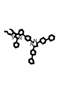 C=C/C=c1/sc2c(-c3ccccc3)nc3c(-c4ccc(-c5nc(-c6ccc(-c7ccccc7)cc6)cc(-c6ccc(-c7ccccc7)cc6)n5)cc4)cccc3c2/c1=C/C